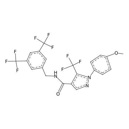 COc1ccc(-n2ncc(C(=O)NCc3cc(C(F)(F)F)cc(C(F)(F)F)c3)c2C(F)(F)F)cc1